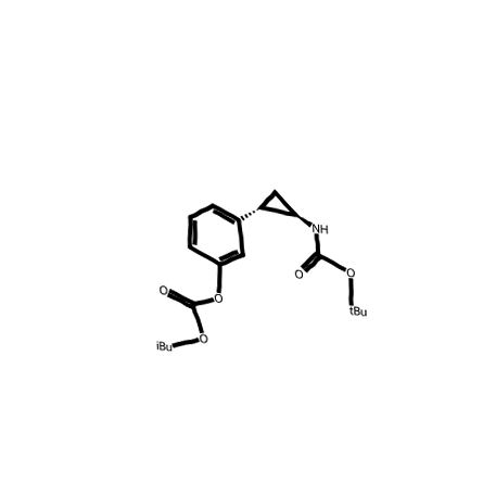 CCC(C)OC(=O)Oc1cccc([C@@H]2C[C@H]2NC(=O)OC(C)(C)C)c1